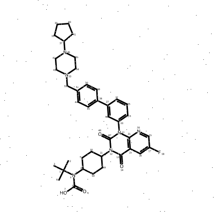 CC(C)(C)N(C(=O)O)C1CCC(n2c(=O)c3cc(F)cnc3n(-c3cccc(-c4ccc(CN5CCN(C6CCCC6)CC5)cc4)c3)c2=O)CC1